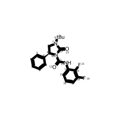 CC(C)(C)N1C[C@H](c2ccccc2)N(C(=O)Nc2cccc(F)c2F)C1=O